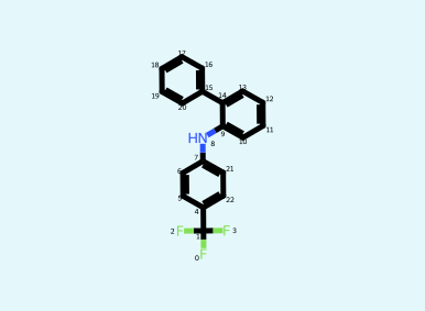 FC(F)(F)c1ccc(Nc2ccccc2-c2ccccc2)cc1